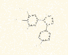 COc1cc(-c2nscc2-c2ccc(N)cc2)cc(C)c1OC